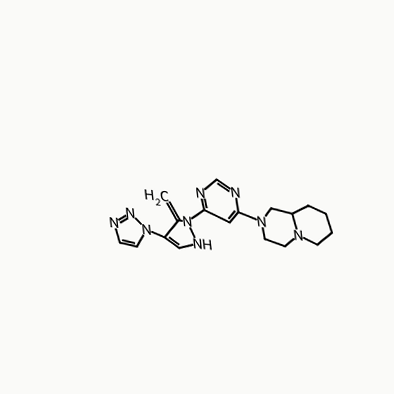 C=C1C(n2ccnn2)=CNN1c1cc(N2CCN3CCCCC3C2)ncn1